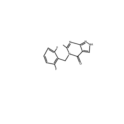 Cc1nc2n[nH]cc2c(=O)n1Cc1c(F)cccc1F